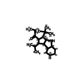 CCC(=O)C1C(C(C)C)C2C3CNCCC3NC2N1C(C)(C)C